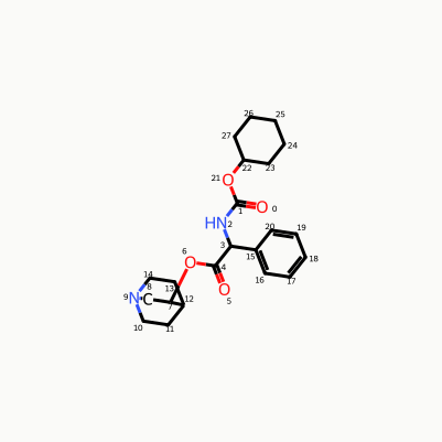 O=C(NC(C(=O)OC1CN2CCC1CC2)c1ccccc1)OC1CCCCC1